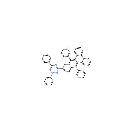 c1ccc(-c2nc(-c3ccccc3)nc(-c3ccc4c(-c5ccccc5)c5c6ccccc6c6ccccc6c5c(-c5ccccc5)c4c3)n2)cc1